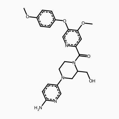 COc1ccc(Oc2cnc(C(=O)N3CCN(c4ccc(N)nc4)CC3CO)cc2OC)cc1